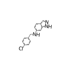 Clc1ccc(CNc2ccc3cn[nH]c3c2)cc1